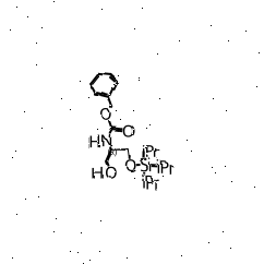 CC(C)[Si](OC[C@@H](CO)NC(=O)OCc1ccccc1)(C(C)C)C(C)C